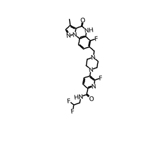 Cc1cnn2c1c(=O)[nH]c1c(F)c(CN3CCN(c4ccc(C(=O)NCC(F)F)nc4F)CC3)ccc12